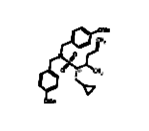 C=CCC(C)[C@H](CC1CC1)S(=O)(=O)N(Cc1ccc(OC)cc1)Cc1ccc(OC)cc1